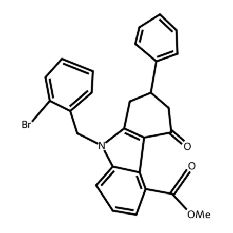 COC(=O)c1cccc2c1c1c(n2Cc2ccccc2Br)CC(c2ccccc2)CC1=O